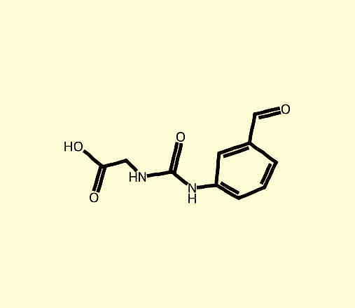 O=Cc1cccc(NC(=O)NCC(=O)O)c1